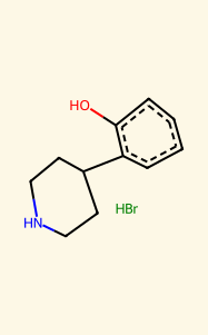 Br.Oc1ccccc1C1CCNCC1